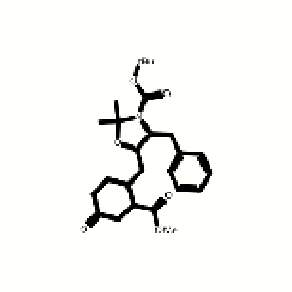 COC(=O)C1CC(=O)CCC1CC1OC(C)(C)N(C(=O)OC(C)(C)C)C1Cc1ccccc1